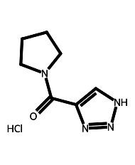 Cl.O=C(c1c[nH]nn1)N1CCCC1